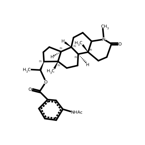 CC(=O)Nc1cccc(C(=O)OC(C)[C@H]2CC[C@H]3[C@@H]4CCC5N(C)C(=O)CC[C@]5(C)[C@H]4CC[C@]23C)c1